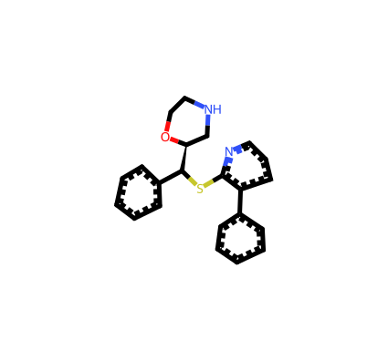 c1ccc(-c2cccnc2SC(c2ccccc2)[C@@H]2CNCCO2)cc1